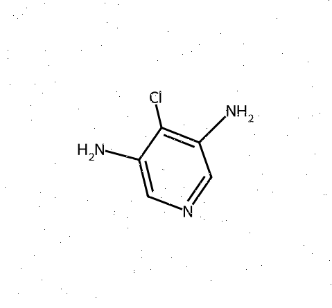 Nc1cncc(N)c1Cl